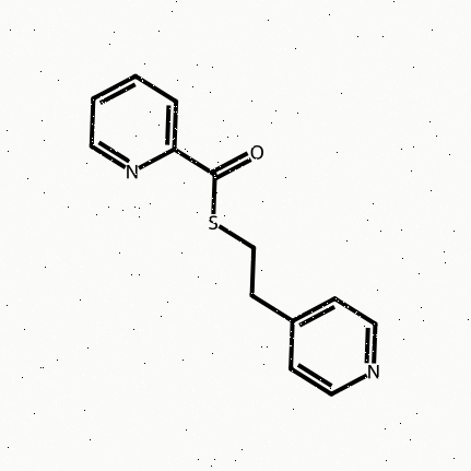 O=C(SCCc1ccncc1)c1ccccn1